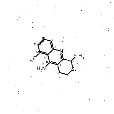 CC1SCCc2c1nc1cccc(F)c1c2N